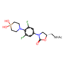 CC(=O)NC[C@H]1CN(c2cc(F)c(N3CCS(O)(O)CC3)c(F)c2)C(=O)O1